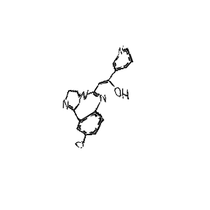 O/C(=C\C1=Nc2ccc(Cl)cc2C2=NCCN12)c1cccnc1